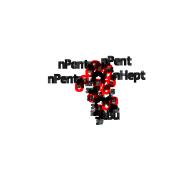 CCCCCCCC(=O)O[C@@H]1[C@H](OOC[C@@H]2OC(C)(C)O[C@H]2[C@@H]2OC(C)(C)O[C@@H]2CO[Si](C)(C)C(C)(C)C)O[C@H](COC(=O)CCCCC)[C@@H](OC(=O)CCCCC)[C@@H]1OC(=O)CCCCC